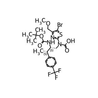 COCc1nc(N(C[C@@H](NC(=O)OC(C)(C)C)[C@@H](C)c2ccc(C(F)(F)F)cc2)C(=O)O)sc1Br